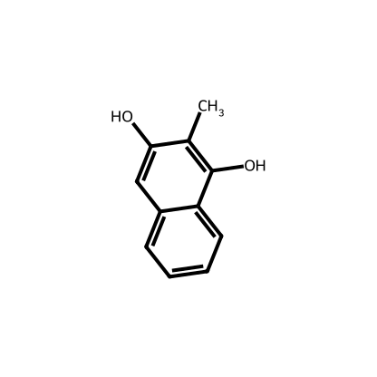 Cc1c(O)cc2ccccc2c1O